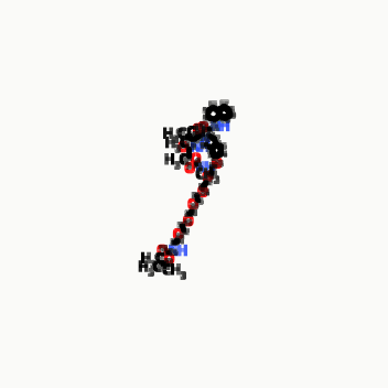 CNC(=O)OC(C)C(=O)NC(C(=O)N1Cc2cc(OCCOCCOCCOCCOCCOCCNC(=O)OC(C)(C)C)ccc2C[C@H]1C(=O)N[C@@H]1CCCc2ccccc21)C(C)(C)C